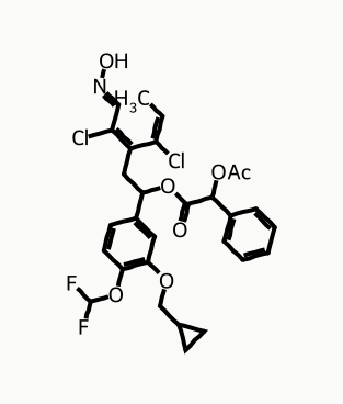 C\C=C(Cl)/C(CC(OC(=O)C(OC(C)=O)c1ccccc1)c1ccc(OC(F)F)c(OCC2CC2)c1)=C(Cl)\C=N\O